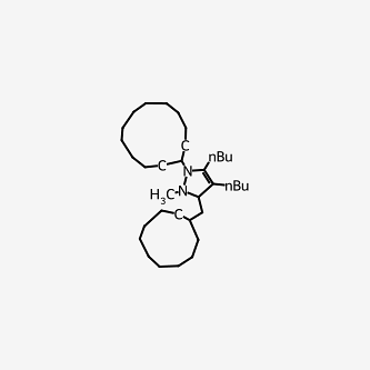 CCCCC1=C(CCCC)N(C2CCCCCCCCCCC2)N(C)C1CC1CCCCCCCCC1